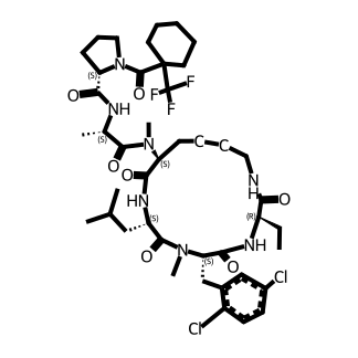 CC[C@H]1NC(=O)[C@H](Cc2cc(Cl)ccc2Cl)N(C)C(=O)[C@H](CC(C)C)NC(=O)[C@@H](N(C)C(=O)[C@H](C)NC(=O)[C@@H]2CCCN2C(=O)C2(C(F)(F)F)CCCCC2)CCCCNC1=O